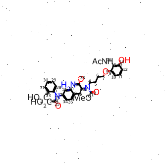 COC(=O)N(CCCCOc1cccc(O)c1NC(C)=O)[C@@H](Cc1ccc(N(C(=O)C(=O)O)c2ccccc2C(=O)O)cc1)C(N)=O